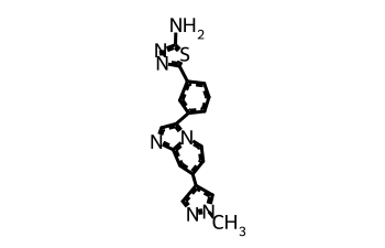 Cn1cc(-c2ccn3c(-c4cccc(-c5nnc(N)s5)c4)cnc3c2)cn1